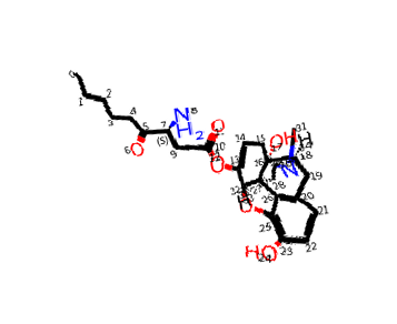 CCCCCC(=O)[C@@H](N)CC(=O)OC1=CC[C@@]2(O)[C@H]3Cc4ccc(O)c5c4[C@@]2(CCN3C)[C@H]1O5